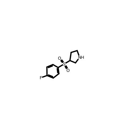 O=S(=O)(c1ccc(F)cc1)C1CCNC1